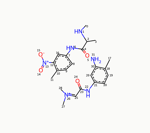 CNC(C)C(=O)Nc1ccc(C)c([N+](=O)[O-])c1.Cc1ccc(NC(=O)C=[N+](C)C)cc1N